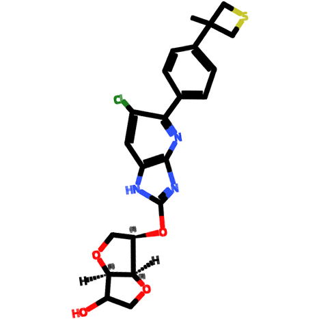 CC1(c2ccc(-c3nc4nc(O[C@@H]5CO[C@@H]6C(O)CO[C@@H]65)[nH]c4cc3Cl)cc2)CSC1